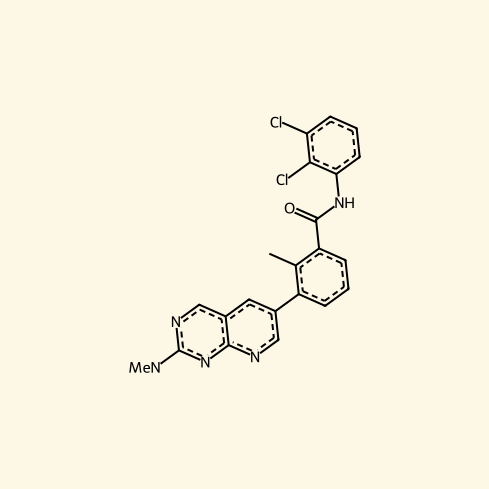 CNc1ncc2cc(-c3cccc(C(=O)Nc4cccc(Cl)c4Cl)c3C)cnc2n1